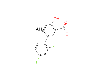 O=C(O)c1cc(-c2ccc(F)cc2F)ccc1O.[AlH3]